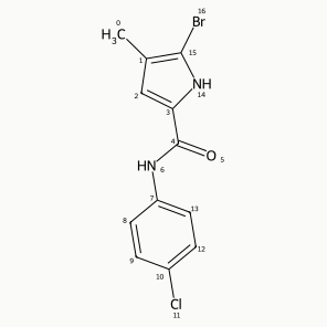 Cc1cc(C(=O)Nc2ccc(Cl)cc2)[nH]c1Br